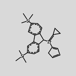 C[Si](C)(C)c1ccc2c(c1)-c1cc([Si](C)(C)C)ccc1[CH]2[Zr]([C]1=CC=CC1)=[C]1CC1